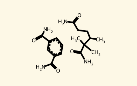 CC(CCC(N)=O)C(C)(C)C(N)=O.NC(=O)c1cccc(C(N)=O)c1